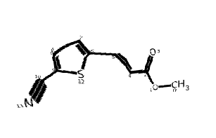 COC(=O)C=Cc1ccc(C#N)s1